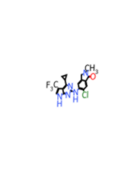 CN1Cc2cc(Nc3nc(C4CC4)c4c(C(F)(F)F)c[nH]c4n3)c(Cl)cc2C1=O